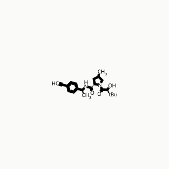 C#Cc1ccc([C@H](C)NC(=O)[C@@H]2CC(C)CN2C(=O)[C@@H](O)C(C)(C)C)cc1